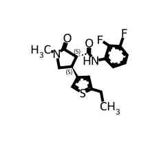 CCc1cc([C@H]2CN(C)C(=O)[C@@H]2C(=O)Nc2cccc(F)c2F)cs1